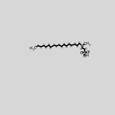 CCCCCCCCCCCCCCCCCCN(C)CCS(=O)(=O)O